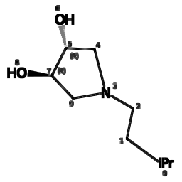 CC(C)CCN1C[C@@H](O)[C@H](O)C1